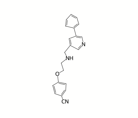 N#Cc1ccc(OCCNCc2cncc(-c3ccccc3)c2)cc1